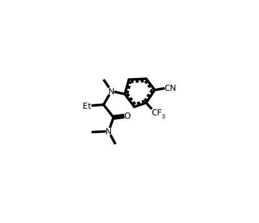 CCC(C(=O)N(C)C)N(C)c1ccc(C#N)c(C(F)(F)F)c1